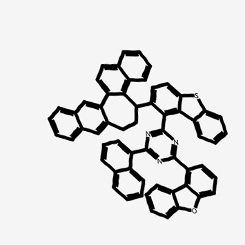 c1ccc2cc3c(cc2c1)CCC(c1ccc2sc4ccccc4c2c1-c1nc(-c2cccc4ccccc24)nc(-c2cccc4oc5ccccc5c24)n1)c1c-3ccc2ccccc12